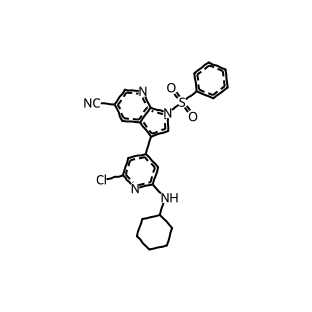 N#Cc1cnc2c(c1)c(-c1cc(Cl)nc(NC3CCCCC3)c1)cn2S(=O)(=O)c1ccccc1